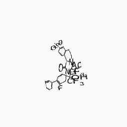 CC(=O)N1CCc2cc(S(C)(=O)=O)ccc2C1C(=O)NC1(C(O)(C(F)(F)F)C(F)(F)F)C=CC(c2ccccc2)=C(F)C1